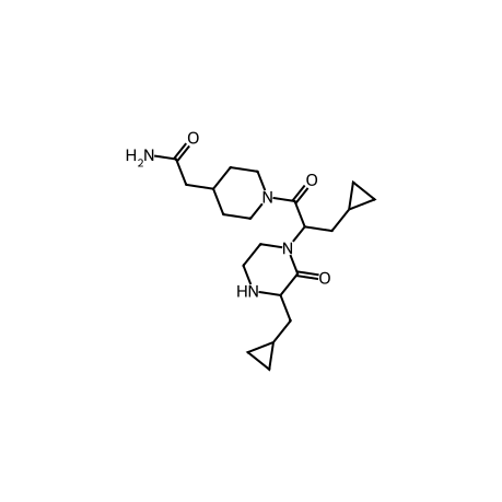 NC(=O)CC1CCN(C(=O)C(CC2CC2)N2CCNC(CC3CC3)C2=O)CC1